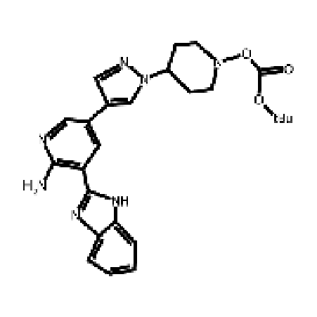 CC(C)(C)OC(=O)ON1CCC(n2cc(-c3cnc(N)c(-c4nc5ccccc5[nH]4)c3)cn2)CC1